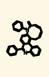 C=C1/C=C\C=C/Cc2c(ccc3c(-c4ccccc4)nc4ccccc4c23)N1c1ccccc1